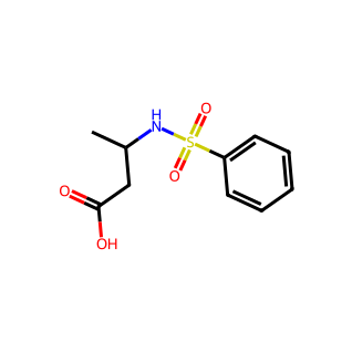 CC(CC(=O)O)NS(=O)(=O)c1ccccc1